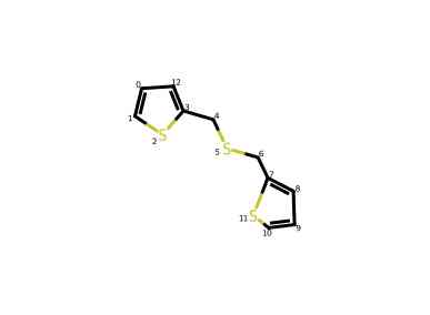 c1csc(CSCc2cccs2)c1